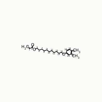 C=CC(=O)OCCCCCCCCCCCOc1ccc(C)c(C)c1